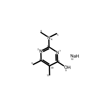 Cc1nc(N(C)C)nc(O)c1C.[NaH]